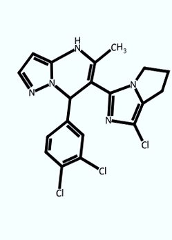 CC1=C(c2nc(Cl)c3n2CCC3)C(c2ccc(Cl)c(Cl)c2)n2nccc2N1